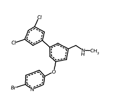 CNCc1cc(Oc2ccc(Br)nc2)cc(-c2cc(Cl)cc(Cl)c2)c1